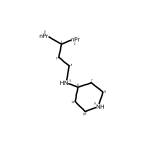 CCCC(CCC)CCNC1CCNCC1